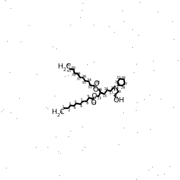 C=CCCCCCCCCC(=O)OCC(CCCCN(CCO)C1CCCCC1)COC(=O)CCCCCCCCC=C